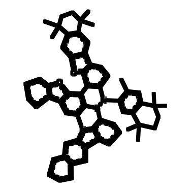 Cc1cc2c(cc1N1B3c4c(cc5c(oc6ccccc65)c4-c4c1ccc1c4oc4cc5c(cc41)C(C)(C)CCC5(C)C)-n1c4cc5ccccc5cc4c4cccc3c41)C(C)(C)CCC2(C)C